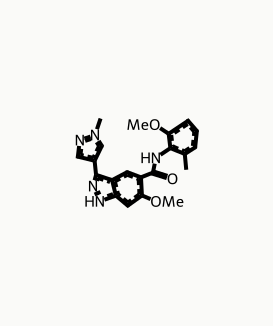 COc1cc2[nH]nc(-c3cnn(C)c3)c2cc1C(=O)Nc1c(C)cccc1OC